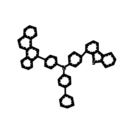 c1ccc(-c2ccc(N(c3ccc(-c4cc5c6ccccc6ccc5c5ccccc45)cc3)c3ccc(-c4cccc5c4sc4ccccc45)cc3)cc2)cc1